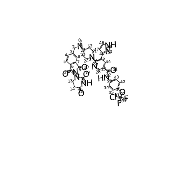 CN(Cc1ccc2c(c1)C(=O)N(N1CCC(=O)NC1=O)C2=O)C1CCN(c2ncc(C(=O)Nc3ccc(OC(F)(F)Cl)cc3)cc2-c2cc[nH]n2)CC1